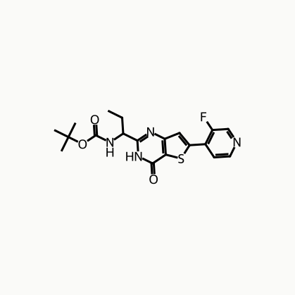 CCC(NC(=O)OC(C)(C)C)c1nc2cc(-c3ccncc3F)sc2c(=O)[nH]1